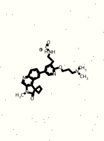 CN(C)CCCOc1ncc(-c2ccc3ncc4c(c3c2)C2(CCC2)C(=O)N4C)cc1CCN[SH](=O)=O